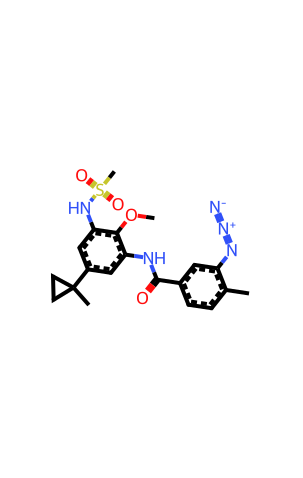 COc1c(NC(=O)c2ccc(C)c(N=[N+]=[N-])c2)cc(C2(C)CC2)cc1NS(C)(=O)=O